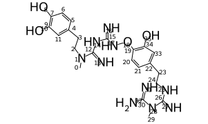 CN(CCc1ccc(O)c(O)c1)C(=N)NC(=N)NOc1ccc(CCNC(=N)N(C)C(=N)N)cc1O